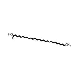 CCCCCCCCCCCCCCCC=CCCCCCCCCCCC(=O)O